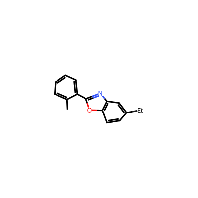 CCc1ccc2oc(-c3ccccc3C)nc2c1